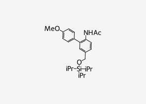 COc1ccc(-c2cc(CO[Si](C(C)C)(C(C)C)C(C)C)ccc2NC(C)=O)cc1